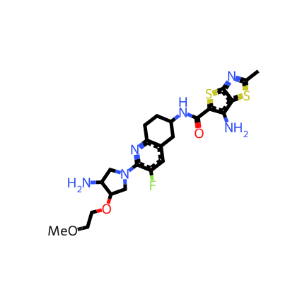 COCCOC1CN(c2nc3c(cc2F)CC(NC(=O)c2sc4nc(C)sc4c2N)CC3)CC1N